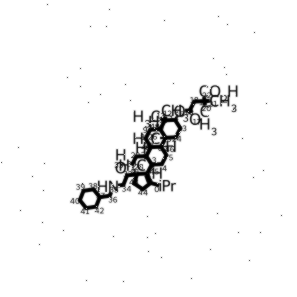 CC(C)C1=C2[C@H]3CC[C@H]4[C@@H](CC[C@H]5C(C)(C)[C@@H](OC(=O)CC(C)(C)C(=O)O)CC[C@]45C)[C@]3(C)CC[C@@]2([C@H](O)CNCC2CCCCC2)CC1